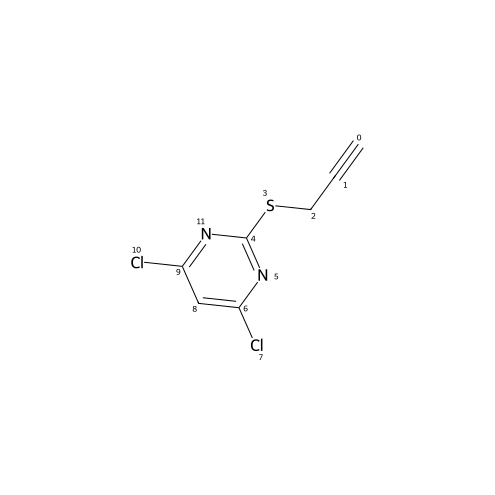 C#CCSc1nc(Cl)cc(Cl)n1